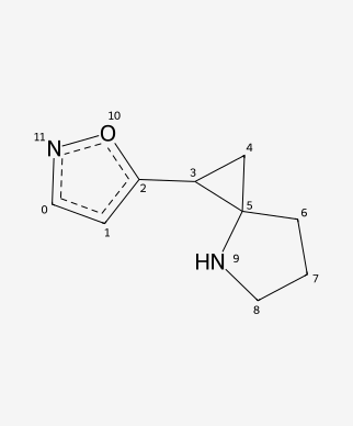 c1cc(C2CC23CCCN3)on1